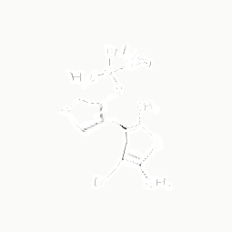 Cc1sc(C)c([C@H]2COC[C@@H]2O[Si](C)(C)C(C)(C)C)c1Br